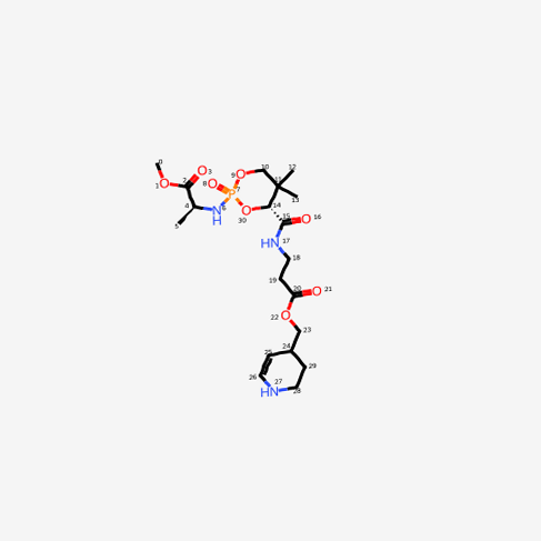 COC(=O)[C@H](C)NP1(=O)OCC(C)(C)[C@H](C(=O)NCCC(=O)OCC2C=CNCC2)O1